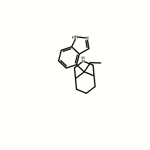 CCC1(c2cccc3[nH]ncc23)C2CCCC1CNC2